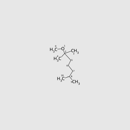 COC(C)(C)CCC[C](C)C